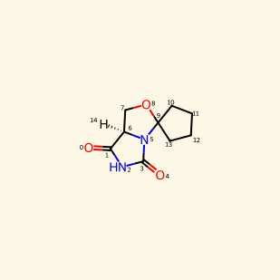 O=C1NC(=O)N2[C@@H]1COC21CCCC1